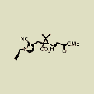 C#CCn1ccc(C[C@@]2(C(=O)O)[C@H](C=CC(=O)OC)C2(C)C)c1C#N